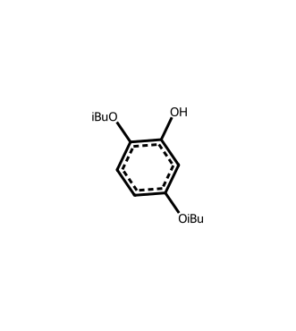 CC(C)COc1ccc(OCC(C)C)c(O)c1